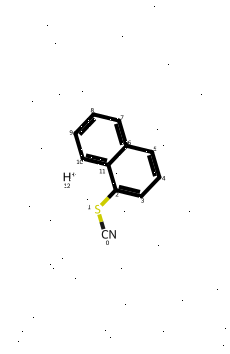 N#CSc1cccc2ccccc12.[H+]